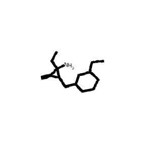 C=C1C(CC2CCCC(CC)C2)C1(N)CC